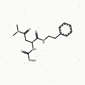 CCCCCCCC(=O)NC(CC(=O)N(C)C)C(=O)NCCc1ccccc1